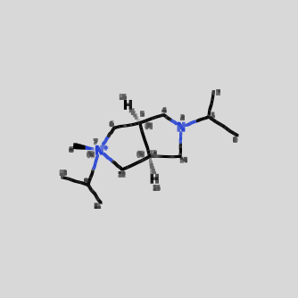 CC(C)N1C[C@@H]2C[N@@+](C)(C(C)C)C[C@@H]2C1